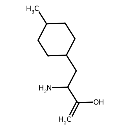 C=C(O)C(N)CC1CCC(C)CC1